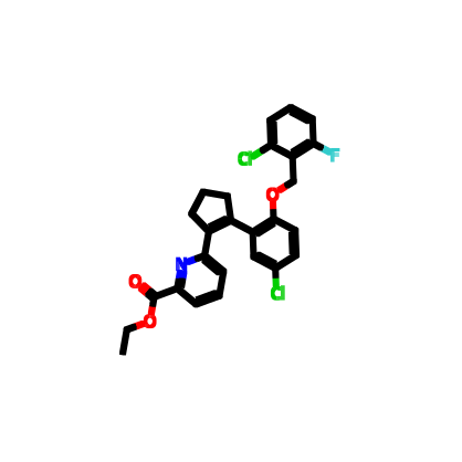 CCOC(=O)c1cccc(C2=C(c3cc(Cl)ccc3OCc3c(F)cccc3Cl)CCC2)n1